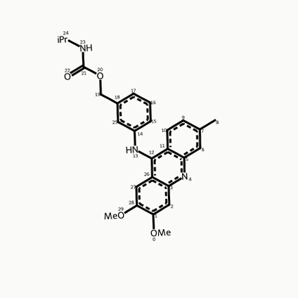 COc1cc2nc3cc(C)ccc3c(Nc3cccc(COC(=O)NC(C)C)c3)c2cc1OC